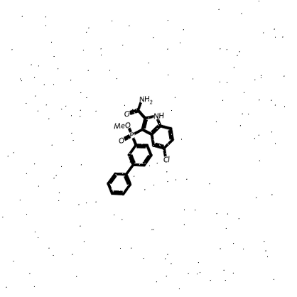 COP(=O)(c1cccc(-c2ccccc2)c1)c1c(C(N)=O)[nH]c2ccc(Cl)cc12